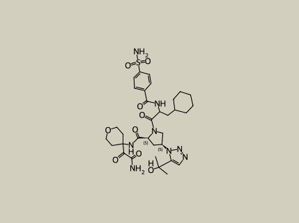 CC(C)(O)c1cnnn1[C@H]1C[C@@H](C(=O)NC2(C(=O)C(N)=O)CCOCC2)N(C(=O)C(CC2CCCCC2)NC(=O)c2ccc(S(N)(=O)=O)cc2)C1